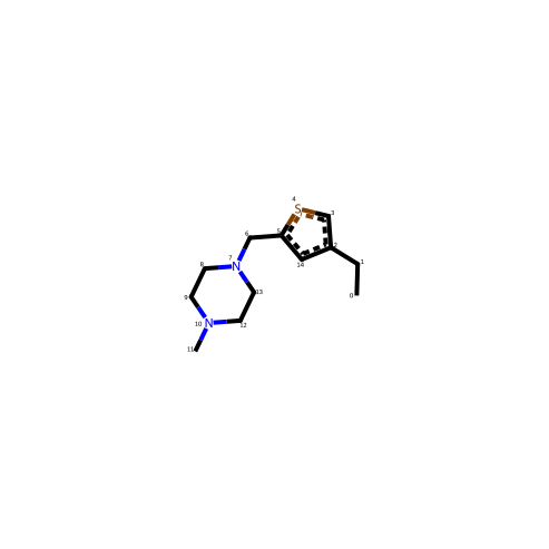 CCc1csc(CN2CCN(C)CC2)c1